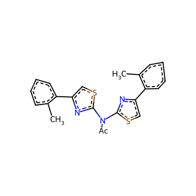 CC(=O)N(c1nc(-c2ccccc2C)cs1)c1nc(-c2ccccc2C)cs1